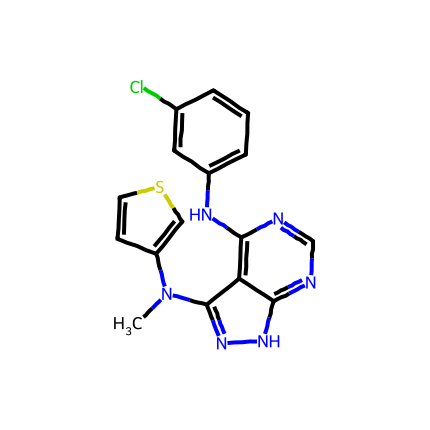 CN(c1ccsc1)c1n[nH]c2ncnc(Nc3cccc(Cl)c3)c12